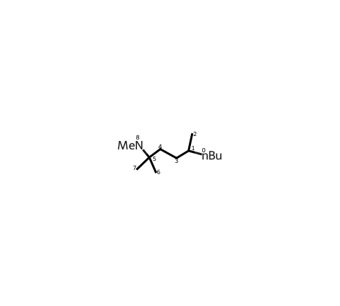 CCCCC(C)CCC(C)(C)NC